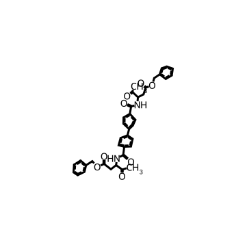 CC(=O)C(CC(=O)OCc1ccccc1)NC(=O)c1ccc(-c2ccc(C(=O)NC(CC(=O)OCc3ccccc3)C(C)=O)cc2)cc1